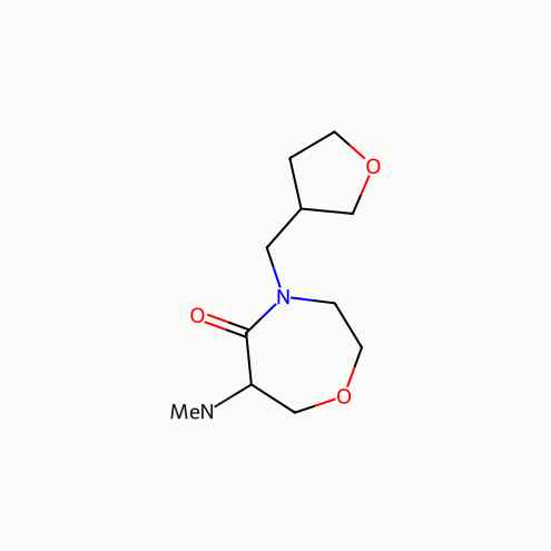 CNC1COCCN(CC2CCOC2)C1=O